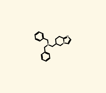 c1ccc(CN(Cc2ccccc2)CC2CCc3nccn3C2)cc1